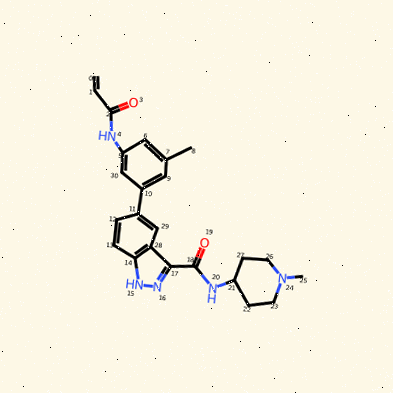 C=CC(=O)Nc1cc(C)cc(-c2ccc3[nH]nc(C(=O)NC4CCN(C)CC4)c3c2)c1